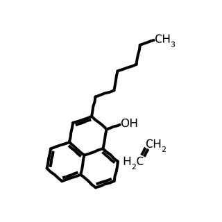 C=C.CCCCCCC1=Cc2cccc3cccc(c23)C1O